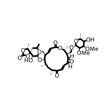 CO[C@H]1[C@H](OC[C@H]2[C@@H]3O[C@@H]3/C=C/C(=O)[C@H](C)C[C@H](C)[C@H](O[C@@H]3OC(C)C[C@@]4(OC(=O)O[C@@H]4C)[C@H]3O)[C@@H](C)/C=C/C(=O)O[C@@H]2C)O[C@H](C)C(O)[C@H]1OC